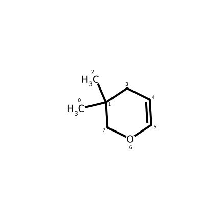 CC1(C)CC=COC1